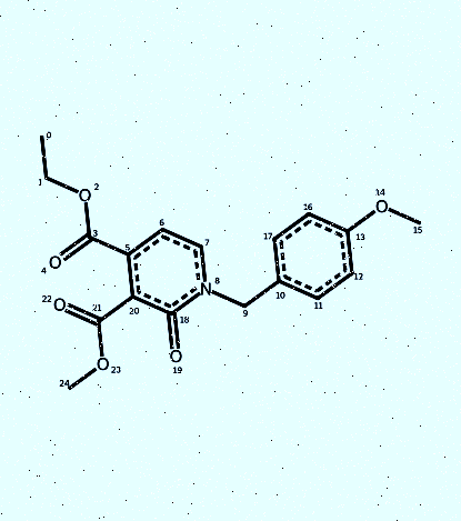 CCOC(=O)c1ccn(Cc2ccc(OC)cc2)c(=O)c1C(=O)OC